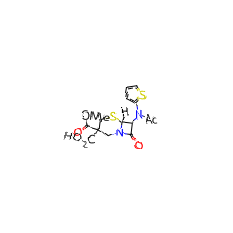 COC(=O)C1(C(=O)O)CS[C@@H]2C(N(C(C)=O)c3cccs3)C(=O)N2C1